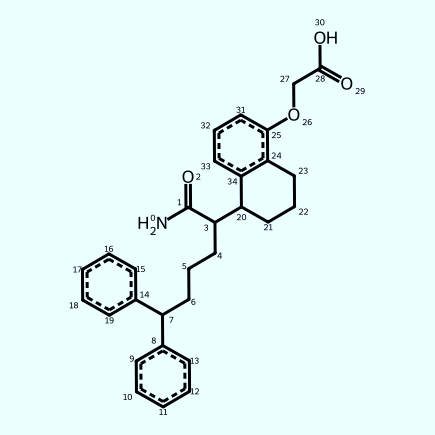 NC(=O)C(CCCC(c1ccccc1)c1ccccc1)C1CCCc2c(OCC(=O)O)cccc21